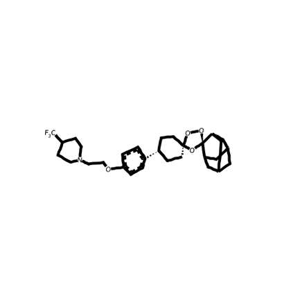 FC(F)(F)C1CCN(CCOc2ccc([C@H]3CC[C@]4(CC3)OO[C@]3(O4)C4CC5CC(C4)CC3C5)cc2)CC1